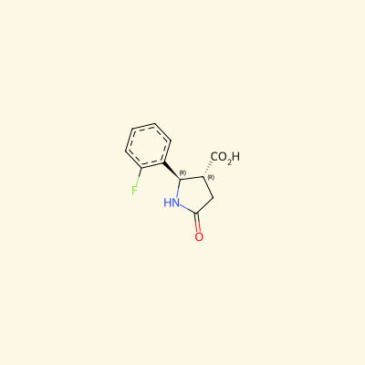 O=C1C[C@@H](C(=O)O)[C@H](c2ccccc2F)N1